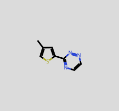 Cc1csc(-c2nccnn2)c1